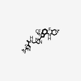 C=C(NCC1=NC(c2cc3c(NC4CCN(C)CC4F)cccc3n2CC(F)(F)F)=NC1)c1cnc(N(C)C)s1